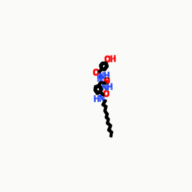 CCCCCCCCCCCCNC(=O)c1cccc2c1NC(=O)/C2=N\NC(=O)c1ccc(O)cc1